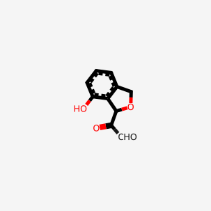 O=CC(=O)C1OCc2cccc(O)c21